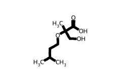 CC(C)CCOC(C)(CO)C(=O)O